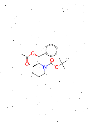 CC(=O)O[C@@H](c1ccccc1)[C@@H]1CCCCN1C(=O)OC(C)(C)C